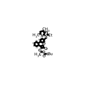 CCc1nc2c(C)cc(C)nc2n1Cc1ccc(-c2ccccc2-c2c(OC(C)OC(=O)C(C)(C)C)c(=O)c2=O)cc1